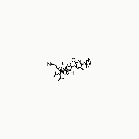 CC[C@]12O[C@@H](n3cc(C)c(-n4cncn4)nc3=O)[C@H](C1OP(OCCC#N)N(C(C)C)C(C)C)N(C)C2=O